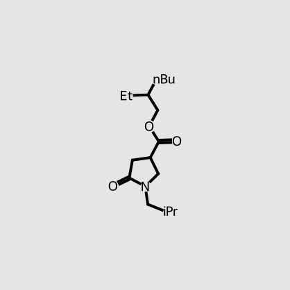 CCCCC(CC)COC(=O)C1CC(=O)N(CC(C)C)C1